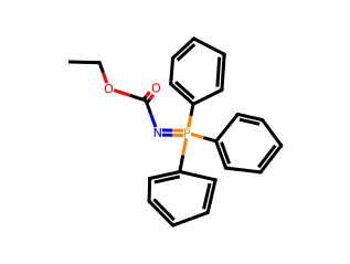 CCOC(=O)N=P(c1ccccc1)(c1ccccc1)c1ccccc1